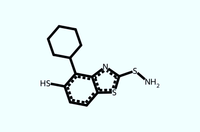 NSc1nc2c(C3CCCCC3)c(S)ccc2s1